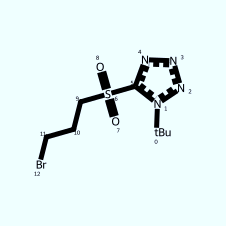 CC(C)(C)n1nnnc1S(=O)(=O)CCCBr